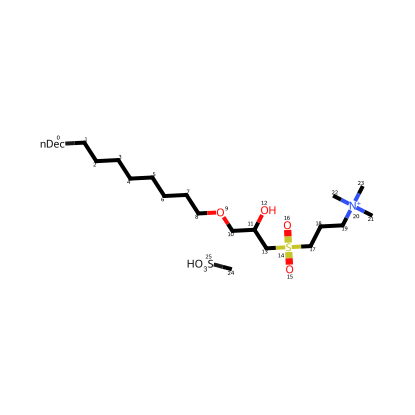 CCCCCCCCCCCCCCCCCCOCC(O)CS(=O)(=O)CCC[N+](C)(C)C.CS(=O)(=O)O